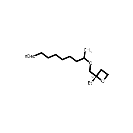 CCCCCCCCCCCCCCCCC(C)OC[C@]1(CC)CCO1